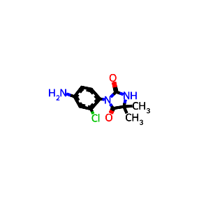 CC1(C)NC(=O)N(c2ccc(N)cc2Cl)C1=O